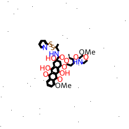 COc1cccc2c1C(=O)c1c(O)c3c(c(O)c1C2=O)C[C@@](O)(C(=O)NCC(C)SSc1ccccn1)C[C@@H]3O[C@H]1CC[C@H](O[C@H]2NCCO[C@@H]2OC)[C@H](C)O1